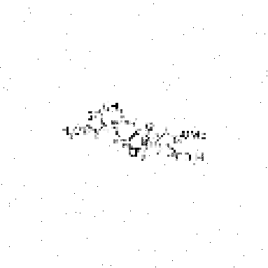 CO[C@H]1C[C@@H](S(=O)(=O)c2ccc(-c3cc(C)sc3C)cc2C(F)(F)F)C[C@@H]1C(=O)O